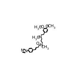 COc1ccc(CCN(C)CCCN(C)C(=O)C/C=C/c2ccc(-n3ccnc3)cc2)cc1OC